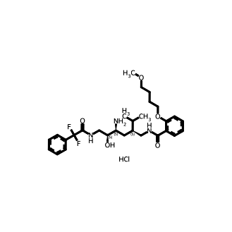 COCCCCOc1ccccc1C(=O)NC[C@@H](C[C@H](N)[C@@H](O)CNC(=O)C(F)(F)c1ccccc1)C(C)C.Cl